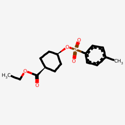 CCOC(=O)[C@H]1CC[C@@H](OS(=O)(=O)c2ccc(C)cc2)CC1